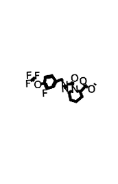 COC(=O)C1CCCc2nn(Cc3ccc(OC(F)(F)F)c(F)c3)c(=O)n21